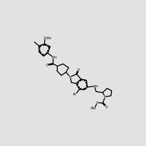 COc1cc(NC(=O)C2CCC(N3Cc4c(Br)cc(NCC5CCCN5C(=O)OC(C)(C)C)cc4C3=O)CC2)ccc1C